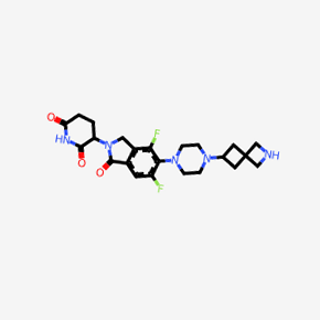 O=C1CCC(N2Cc3c(cc(F)c(N4CCN(C5CC6(CNC6)C5)CC4)c3F)C2=O)C(=O)N1